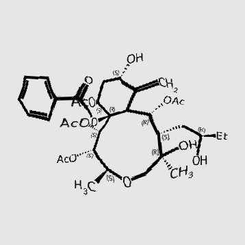 C=C1C2[C@H](OC(C)=O)[C@H](C[C@H](O)CC)[C@@](C)(O)CO[C@@H](C)[C@H](OC(C)=O)[C@H](OC(C)=O)[C@]2(OC(=O)c2ccccc2)[C@@H](OC(C)=O)C[C@@H]1O